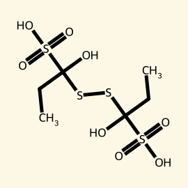 CCC(O)(SSC(O)(CC)S(=O)(=O)O)S(=O)(=O)O